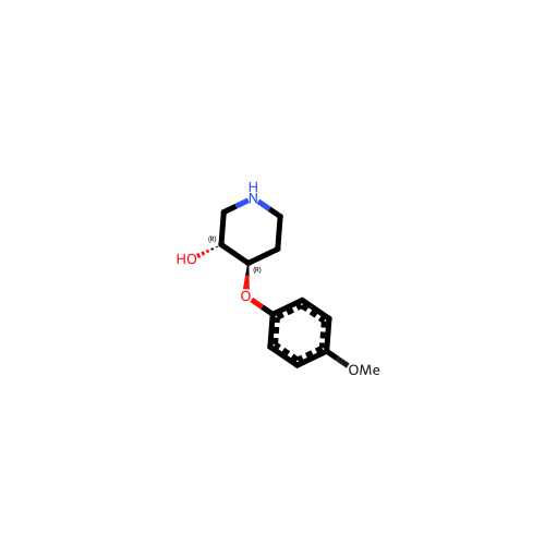 COc1ccc(O[C@@H]2CCNC[C@H]2O)cc1